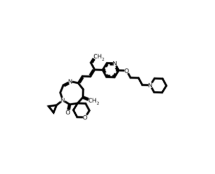 C=C\C(=C/C=C1CC(=C)C2(CCOCC2)C(=O)N(C2CC2)C/C=N\1)c1ccc(OCCCN2CCCCC2)nc1